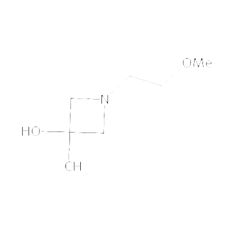 COCCN1CC(C)(O)C1